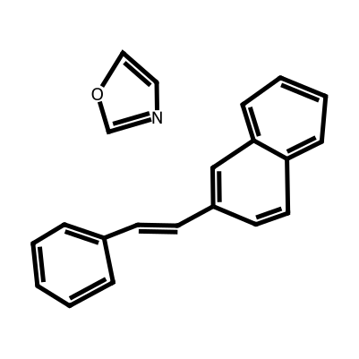 C(=Cc1ccc2ccccc2c1)c1ccccc1.c1cocn1